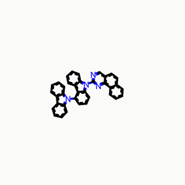 c1ccc2c(c1)ccc1cnc(-n3c4ccccc4c4c(-n5c6ccccc6c6ccccc65)cccc43)nc12